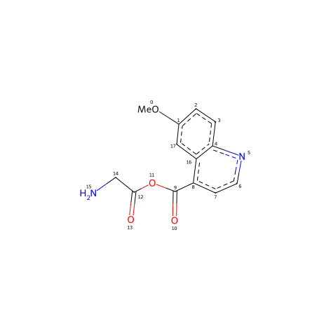 COc1ccc2nccc(C(=O)OC(=O)CN)c2c1